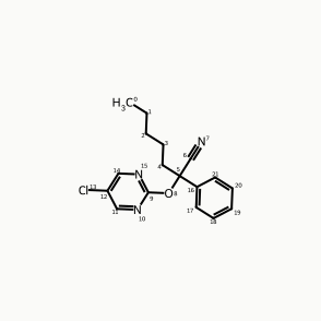 CCCCCC(C#N)(Oc1ncc(Cl)cn1)c1ccccc1